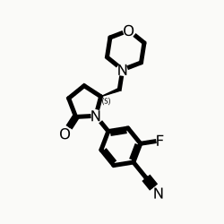 N#Cc1ccc(N2C(=O)CC[C@H]2CN2CCOCC2)cc1F